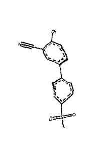 CS(=O)(=O)c1ccc(-c2ccc(O)c(C#N)c2)cc1